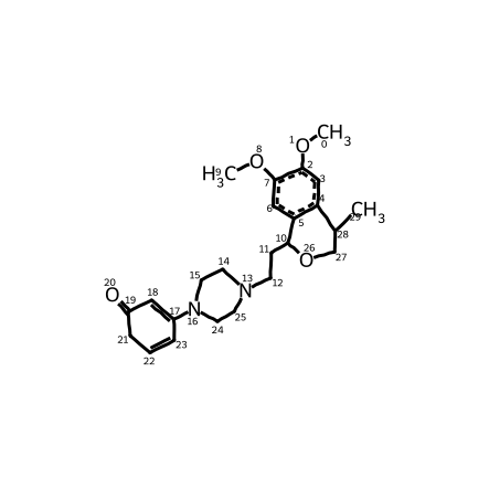 COc1cc2c(cc1OC)C(CCN1CCN(C3=CC(=O)CC=C3)CC1)OCC2C